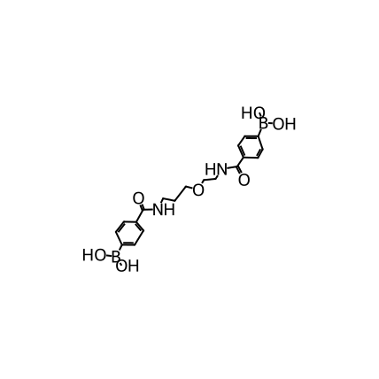 O=C(NCCCOCCNC(=O)c1ccc(B(O)O)cc1)c1ccc(B(O)O)cc1